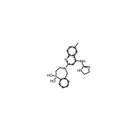 Cc1ccc2nc(N3CCS(O)(O)c4ccccc4C3)cc(NC3=NCCN3)c2c1